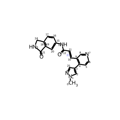 Cn1cc(-c2ccncc2/C=C/C(=O)Nc2ccc3c(c2)C(=O)NC3)cn1